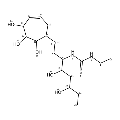 CCNC(=S)NC(CNC1CC=CC(O)C(O)C1O)C(O)CC(O)CC